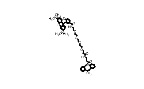 C/C1=C/c2ccccc2N(C(=O)CCNC(=O)CCOCCOCCOCCOCCNC(=O)c2ccc(C(=O)O)c(-c3c4ccc(=[N+](C)C)cc-4oc4cc(N(C)C)ccc34)c2)Cc2ccccc21